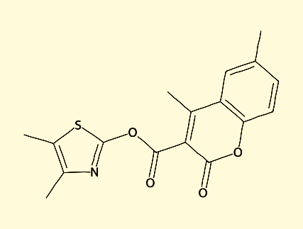 Cc1ccc2oc(=O)c(C(=O)Oc3nc(C)c(C)s3)c(C)c2c1